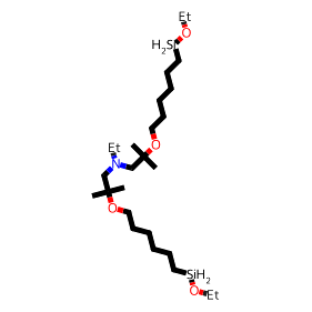 CCO[SiH2]CCCCCCOC(C)(C)CN(CC)CC(C)(C)OCCCCCC[SiH2]OCC